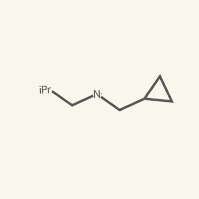 CC(C)C[N]CC1CC1